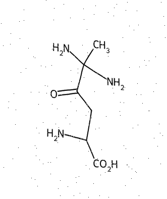 CC(N)(N)C(=O)CC(N)C(=O)O